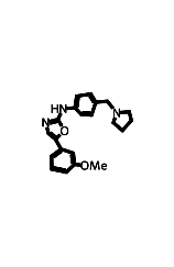 COc1cccc(-c2cnc(Nc3ccc(CN4CCCC4)cc3)o2)c1